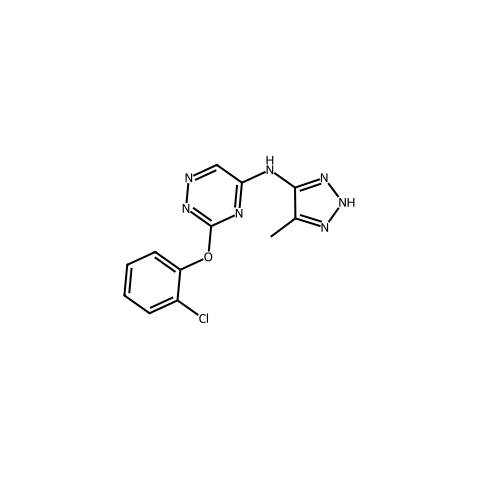 Cc1n[nH]nc1Nc1cnnc(Oc2ccccc2Cl)n1